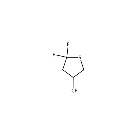 FC1(F)CC(C(F)(F)F)CS1